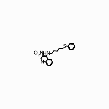 O=[N+]([O-])c1cnc2ccccc2c1NCCCCCSc1ccccc1